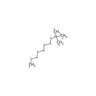 [CH2]CCCCCCCC(C)(C)C